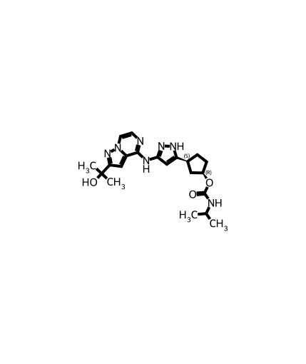 CC(C)NC(=O)O[C@@H]1CC[C@H](c2cc(Nc3nccn4nc(C(C)(C)O)cc34)n[nH]2)C1